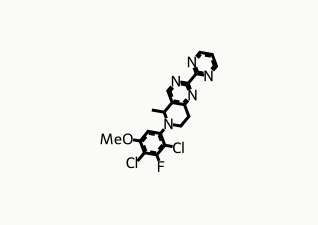 COc1cc(N2CCc3nc(-c4ncccn4)ncc3C2C)c(Cl)c(F)c1Cl